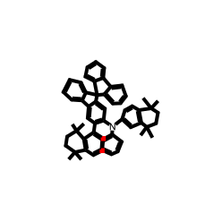 Cc1ccc2c(c1-c1cc3c(cc1N(c1ccccc1)c1ccc4c(c1)C(C)(C)CCC4(C)C)C1(c4ccccc4-c4ccccc41)c1ccccc1-3)C(C)(C)CCC2(C)C